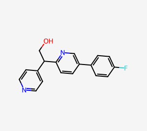 OCC(c1ccncc1)c1ccc(-c2ccc(F)cc2)cn1